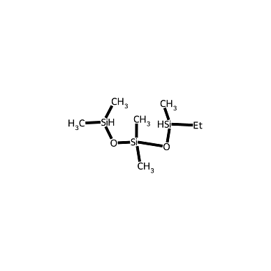 CC[SiH](C)O[Si](C)(C)O[SiH](C)C